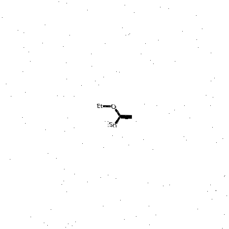 C=[C]([Sn])OCC